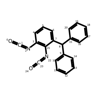 O=C=Nc1cccc(C(c2ccccc2)c2ccccc2)c1N=C=O